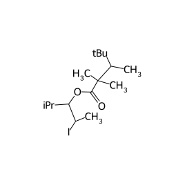 CC(C)C(OC(=O)C(C)(C)C(C)C(C)(C)C)C(C)I